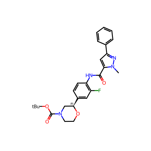 Cn1nc(-c2ccccc2)cc1C(=O)Nc1ccc([C@@H]2CN(C(=O)OC(C)(C)C)CCO2)cc1F